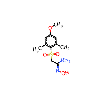 COc1cc(C)c(S(=O)(=O)C/C(N)=N/O)c(C)c1